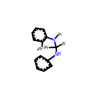 CC(C)c1ccccc1N(C(C)C)C(Nc1ccccc1)(C(C)C)C(C)C